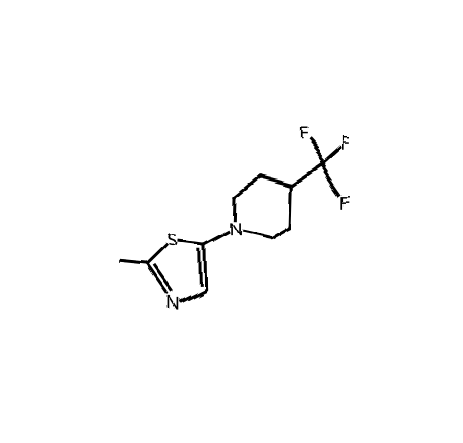 Cc1ncc(N2CCC(C(F)(F)F)CC2)s1